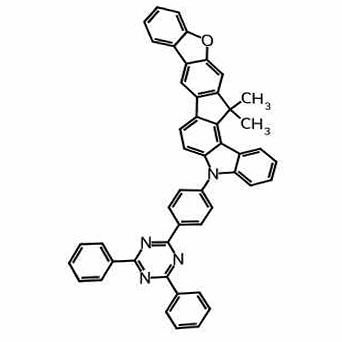 CC1(C)c2cc3oc4ccccc4c3cc2-c2ccc3c(c21)c1ccccc1n3-c1ccc(-c2nc(-c3ccccc3)nc(-c3ccccc3)n2)cc1